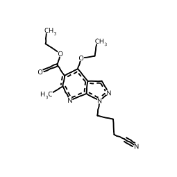 CCOC(=O)c1c(C)nc2c(cnn2CCCC#N)c1OCC